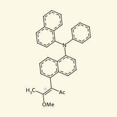 CO/C(C)=C(\C(C)=O)c1cccc2c(N(c3ccccc3)c3cccc4ccccc34)cccc12